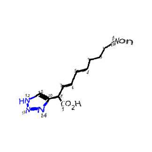 CCCCCCCCCCCCCCCCC(C(=O)O)c1c[nH]nn1